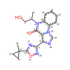 CC(CO)n1c(=O)c2c(-c3noc(C4(C)CC4)n3)ncn2c2ccccc21